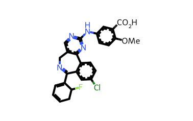 COc1ccc(Nc2ncc3c(n2)-c2ccc(Cl)cc2C(C2=CC=CCC2F)=NC3)cc1C(=O)O